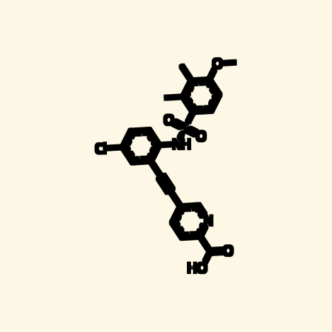 COc1ccc(S(=O)(=O)Nc2ccc(Cl)cc2C#Cc2ccc(C(=O)O)nc2)c(C)c1C